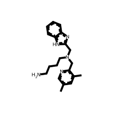 Cc1cnc(CN(CCCCN)Cc2nc3ccccc3[nH]2)c(C)c1